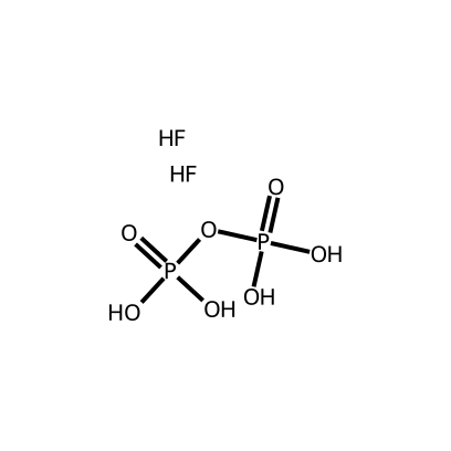 F.F.O=P(O)(O)OP(=O)(O)O